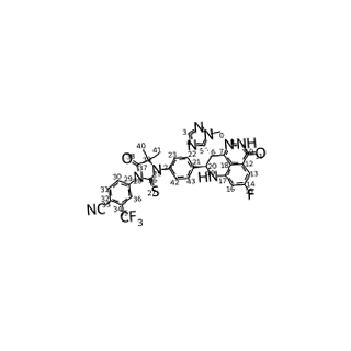 Cn1ncnc1[C@@H]1c2n[nH]c(=O)c3cc(F)cc(c23)N[C@H]1c1ccc(N2C(=S)N(c3ccc(C#N)c(C(F)(F)F)c3)C(=O)C2(C)C)cc1